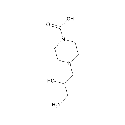 NCC(O)CN1CCN(C(=O)O)CC1